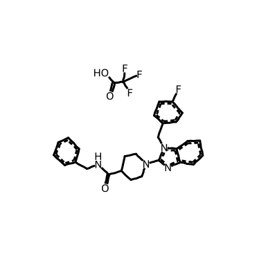 O=C(NCc1ccccc1)C1CCN(c2nc3ccccc3n2Cc2ccc(F)cc2)CC1.O=C(O)C(F)(F)F